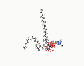 CCCCC/C=C\C/C=C\C/C=C\C/C=C\CCCC(=O)C(C[14CH2]CCCCCCCCCCCCCCCC)(OP(=O)([O-])OCC[N+](C)(C)C)[C@@H](O)CO